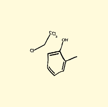 Cc1ccccc1O.ClCC(Cl)(Cl)Cl